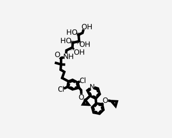 CC(C)(CCCc1cc(Cl)c(COC2(c3cnccc3-c3ccccc3OC3CC3)CC2)cc1Cl)C(=O)NC[C@H](O)[C@@H](O)[C@H](O)[C@H](O)CO